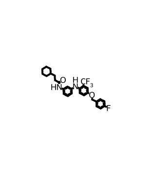 O=C(CCC1CCCCC1)Nc1cccc(Nc2ccc(OCc3ccc(F)cc3)cc2C(F)(F)F)c1